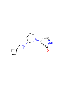 O=c1cc(N2CCC[C@@H](NCC3CCC3)C2)cc[nH]1